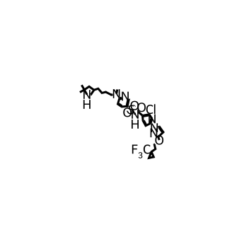 CN(CCCCC1CNC(C)(C)C1)c1ccc(S(=O)(=O)NC(=O)c2ccc(-n3ccc(OCCC4(C(F)(F)F)CC4)n3)nc2Cl)cn1